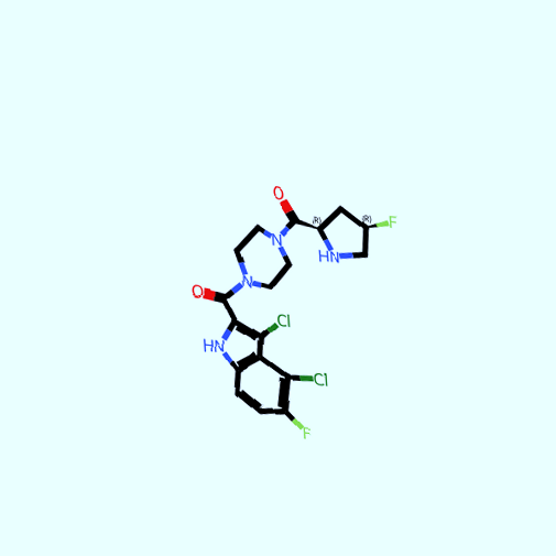 O=C(c1[nH]c2ccc(F)c(Cl)c2c1Cl)N1CCN(C(=O)[C@H]2C[C@@H](F)CN2)CC1